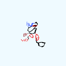 OCCOc1c(OCc2ccccc2)cc2c(c1Br)CC1NCCC23CCCCC13